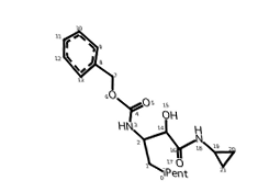 CCCC(C)CC(NC(=O)OCc1ccccc1)C(O)C(=O)NC1CC1